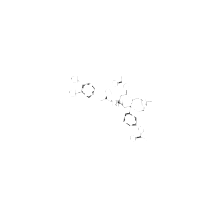 CC(=O)Oc1cccc(C23CCN(C)CC2C(OC(C)=O)C[C@H](NC(=O)Cc2ccc(Cl)c(Cl)c2)C3)c1